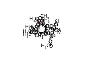 CC(=O)N1CCN(c2ccc(OC[C@H]3CO[C@](Cn4ccnc4)(c4ccc(Cl)cc4Cl)O3)cc2)CC1.CO[C@H]1C[C@H](O[C@H]2[C@H](C)[C@@H](O[C@@H]3O[C@H](C)C[C@H](N(C)C)[C@H]3OC(C)=O)[C@@H](C)C[C@]3(CO3)C(=O)[C@H](C)[C@@H](OC(C)=O)[C@@H](C)[C@@H](C)OC(=O)[C@@H]2C)O[C@@H](C)[C@@H]1OC(C)=O